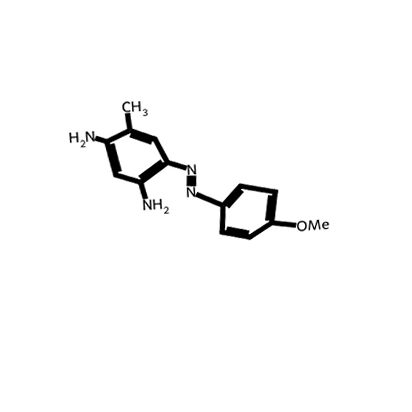 COc1ccc(/N=N/c2cc(C)c(N)cc2N)cc1